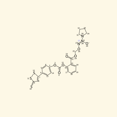 O=C(Oc1ccc(-c2cc(=S)ss2)cc1)Oc1ccccc1C(=O)OCO/N=[N+](\[O-])N1CCCC1